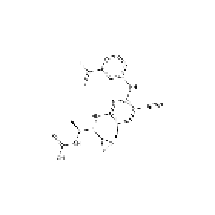 CC(=O)c1cccc(Nc2nc(N[C@H](C3CC3)[C@H](C)NC(=O)O)c(F)cc2C#N)c1